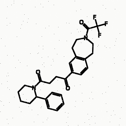 O=C(CCC(=O)N1CCCCC1c1ccccc1)c1ccc2c(c1)CCN(C(=O)C(F)(F)F)CC2